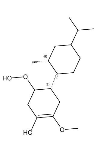 COC1=C(O)CC(OO)[C@H](C2CCC(C(C)C)C[C@H]2C)C1